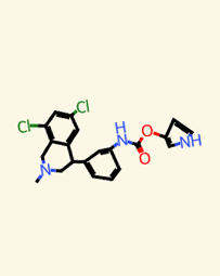 CN1Cc2c(Cl)cc(Cl)cc2C(c2cccc(NC(=O)Oc3cc[nH]c3)c2)C1